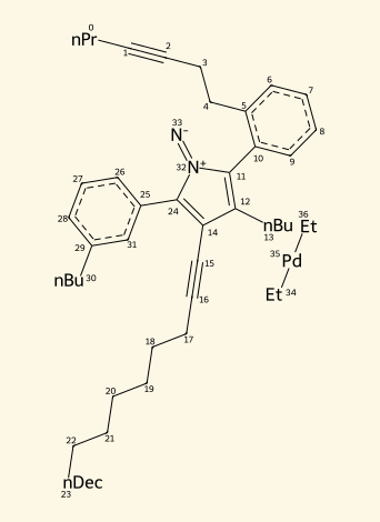 CCCC#CCCc1ccccc1C1=C(CCCC)C(C#CCCCCCCCCCCCCCCCC)=C(c2cccc(CCCC)c2)[N+]1=[N-].C[CH2][Pd][CH2]C